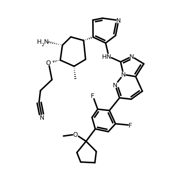 COC1(c2cc(F)c(-c3ccc4cnc(Nc5cnccc5[C@H]5C[C@@H](N)[C@@H](OCCC#N)[C@@H](C)C5)n4n3)c(F)c2)CCCC1